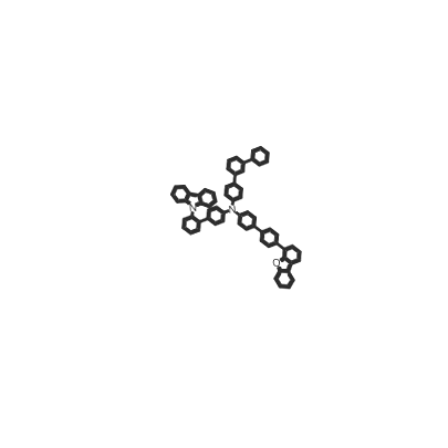 c1ccc(-c2cccc(-c3ccc(N(c4ccc(-c5ccc(-c6cccc7c6oc6ccccc67)cc5)cc4)c4ccc(-c5ccccc5-n5c6ccccc6c6ccccc65)cc4)cc3)c2)cc1